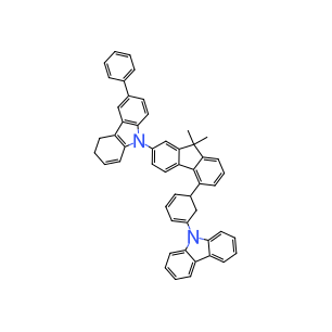 CC1(C)c2cc(-n3c4c(c5cc(-c6ccccc6)ccc53)CCC=C4)ccc2-c2c(C3C=CC=C(n4c5ccccc5c5ccccc54)C3)cccc21